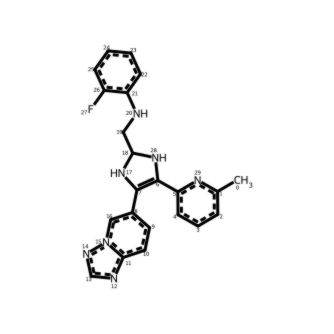 Cc1cccc(C2=C(c3ccc4ncnn4c3)NC(CNc3ccccc3F)N2)n1